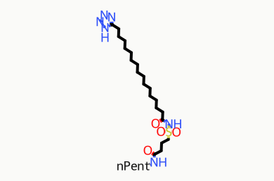 CCCCCNC(=O)CCCS(=O)(=O)NC(=O)CCCCCCCCCCCCCCCc1nnn[nH]1